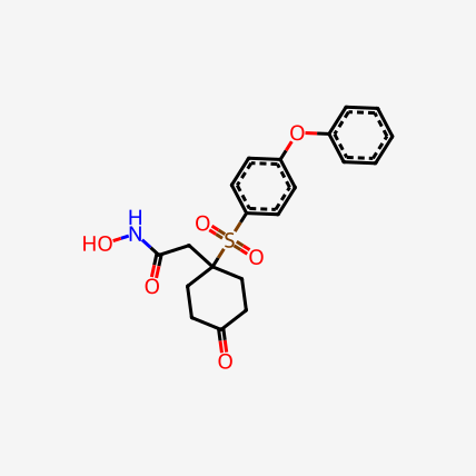 O=C1CCC(CC(=O)NO)(S(=O)(=O)c2ccc(Oc3ccccc3)cc2)CC1